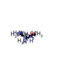 C=CC(=O)NCCC(C)(CC)NCCC(C)(N)CC